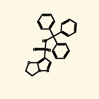 N=S(=O)(NC(c1ccccc1)(c1ccccc1)c1ccccc1)c1cnn2c1OCC2